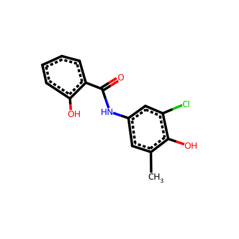 Cc1cc(NC(=O)c2ccccc2O)cc(Cl)c1O